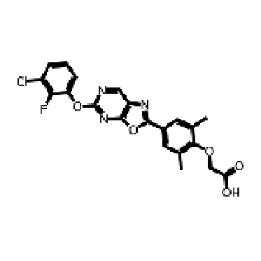 Cc1cc(-c2nc3cnc(Oc4cccc(Cl)c4F)nc3o2)cc(C)c1OCC(=O)O